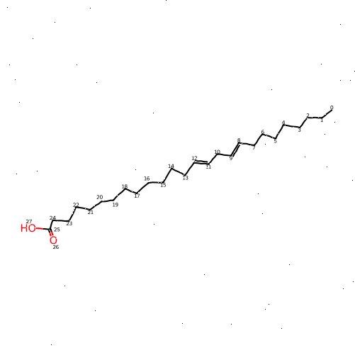 CCCCCCCCC=CCC=CCCCCCCCCCCCCC(=O)O